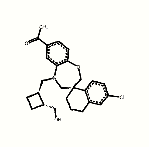 CC(=O)c1ccc2c(c1)N(C[C@@H]1CC[C@H]1CO)C[C@@]1(CCCc3cc(Cl)ccc31)CO2